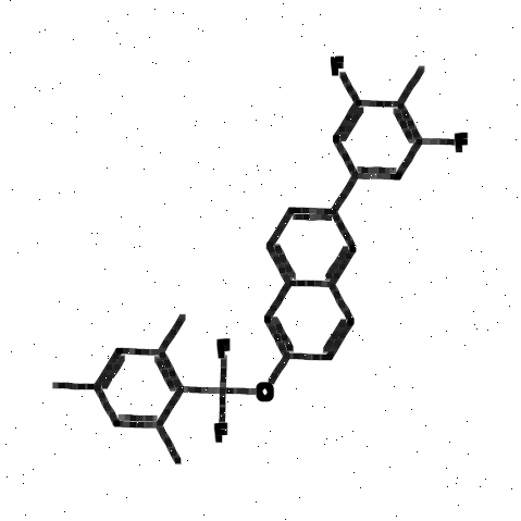 Cc1cc(C)c(C(F)(F)Oc2ccc3cc(-c4cc(F)c(C)c(F)c4)ccc3c2)c(C)c1